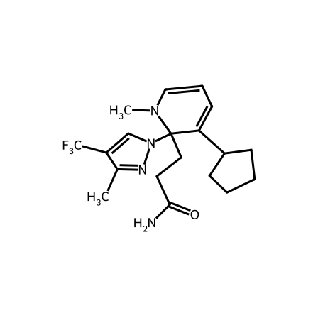 Cc1nn(C2(CCC(N)=O)C(C3CCCC3)=CC=CN2C)cc1C(F)(F)F